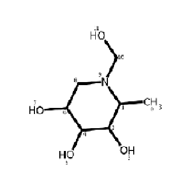 CC1C(O)C(O)C(O)CN1CO